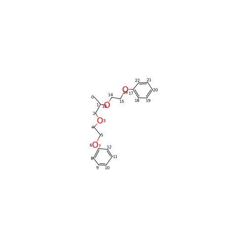 CC(COCCOc1ccccc1)OCCOc1ccccc1